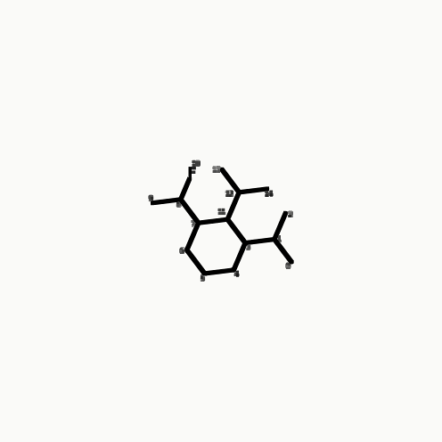 CC(C)C1CCCC(C(C)F)C1C(C)C